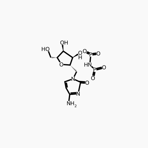 Nc1ccn(C[C@@H]2O[C@H](CO)[C@@H](O)[C@H]2O)c(=O)n1.O=P(=O)NP(=O)=O